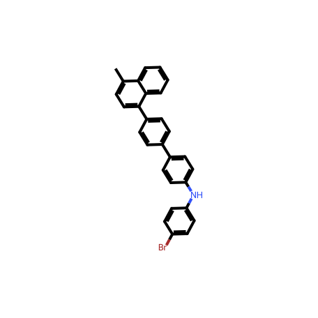 Cc1ccc(-c2ccc(-c3ccc(Nc4ccc(Br)cc4)cc3)cc2)c2ccccc12